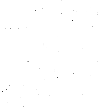 CCCCC[CH]([AlH2])CC